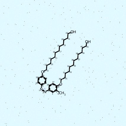 Cc1cc(/N=N\c2ccc(OCCCCCCCCCCCCO)cc2)ccc1OCCCCCCCCCCCCO